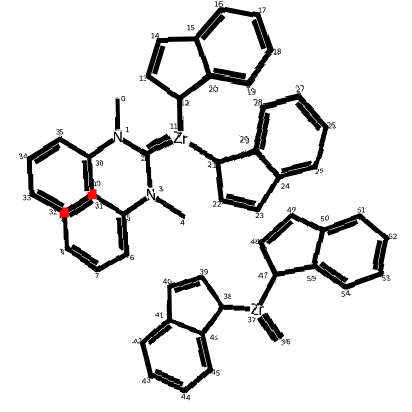 CN([C](N(C)c1ccccc1)=[Zr]([CH]1C=Cc2ccccc21)[CH]1C=Cc2ccccc21)c1ccccc1.[CH2]=[Zr]([CH]1C=Cc2ccccc21)[CH]1C=Cc2ccccc21